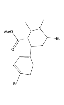 CCC1CC(C2=CC=C(Br)CC2)[C@H](C(=O)OC)C(C)N1C